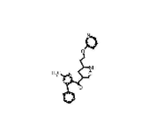 Cc1nc(C(=O)C2CCNC(CCOc3cccnc3)C2)c(-c2ccccc2)s1